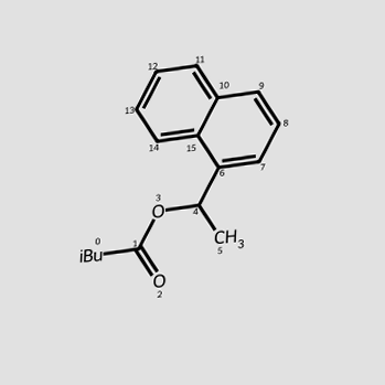 [CH2]C(CC)C(=O)OC(C)c1cccc2ccccc12